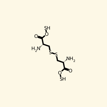 N[C@@H](CSSC[C@H](N)C(=O)OS)C(=O)OS